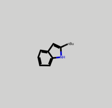 CC[CH]Cc1cc2ccccc2[nH]1